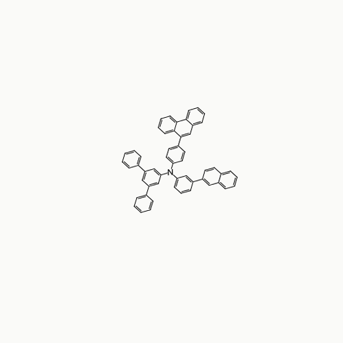 c1ccc(-c2cc(-c3ccccc3)cc(N(c3ccc(-c4cc5ccccc5c5ccccc45)cc3)c3cccc(-c4ccc5ccccc5c4)c3)c2)cc1